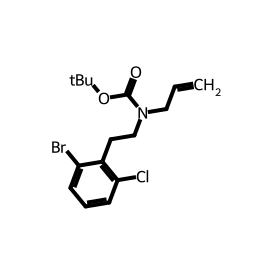 C=CCN(CCc1c(Cl)cccc1Br)C(=O)OC(C)(C)C